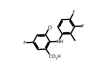 Cc1c(Nc2c(Cl)cc(F)cc2C(=O)O)ccc(F)c1F